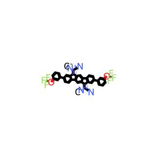 [C-]#[N+]/C(C#N)=C1/c2cc(-c3cccc(OC(F)(F)F)c3)ccc2-c2cc3c(cc21)-c1ccc(-c2cccc(OC(F)(F)F)c2)cc1/C3=C(/C#N)[N+]#[C-]